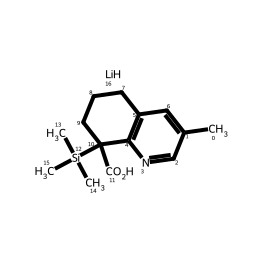 Cc1cnc2c(c1)CCCC2(C(=O)O)[Si](C)(C)C.[LiH]